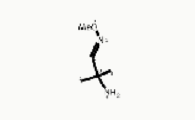 CO/N=C/C(C)(C)N